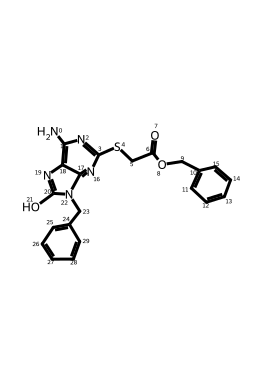 Nc1nc(SCC(=O)OCc2ccccc2)nc2c1nc(O)n2Cc1ccccc1